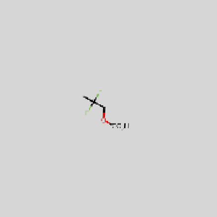 CC(F)(F)COC(=O)O